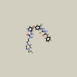 CN1CCN(CCCNC(=O)Nc2cc(Oc3ccc(NC(=S)NC(=O)Cc4ccccc4)c(Cl)c3)ccn2)CC1